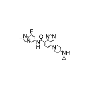 Cc1cn2cc(NC(=O)c3ccc(N4CCC(NC5CC5)CC4)c4cncnc34)cc(F)c2n1